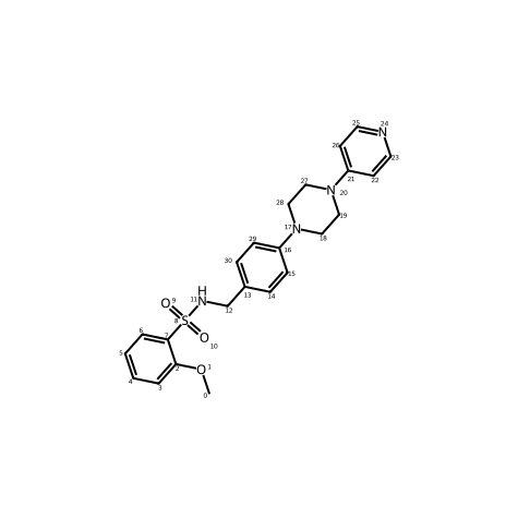 COc1ccccc1S(=O)(=O)NCc1ccc(N2CCN(c3ccncc3)CC2)cc1